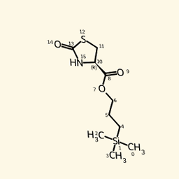 C[Si](C)(C)CCCOC(=O)[C@@H]1CSC(=O)N1